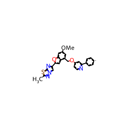 COc1cc(COc2ccnc(-c3cc[c]cc3)c2)c2cc(-c3cn4nc(C)sc4n3)oc2c1